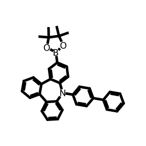 CC1(C)OB(c2ccc3c(c2)-c2ccccc2-c2ccccc2N3c2ccc(-c3ccccc3)cc2)OC1(C)C